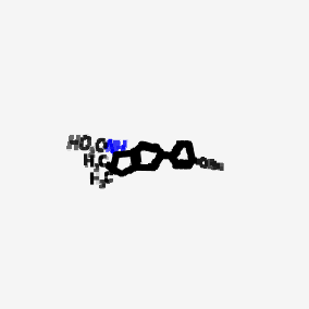 CC(C)COc1ccc(-c2ccc3c(c2)CC(C)(C)[C@H]3NC(=O)O)cc1